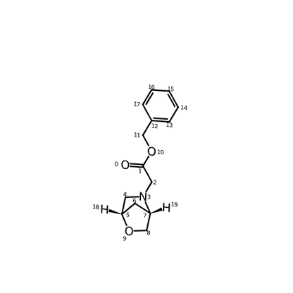 O=C(CN1C[C@@H]2C[C@H]1CO2)OCc1ccccc1